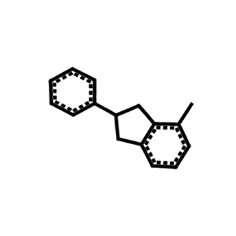 Cc1cccc2c1CC(c1ccccc1)C2